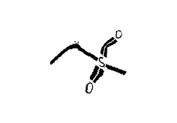 C[C]S(C)(=O)=O